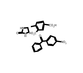 Cc1ccc(C(=O)O)cc1C(=O)O.O=C(c1ccccc1)c1ccc([N+](=O)[O-])cc1.O=C1NCCN1